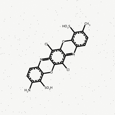 Cc1ccc2c(c1S(=O)(=O)O)Oc1c(Cl)c3c(c(Cl)c1=N2)Oc1c(ccc(N)c1S(=O)(=O)O)N=3